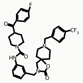 O=C(c1ccc(F)cc1)C1CCN(C(=O)Nc2cccc(CN3CC4(CCN(Cc5ccc(C(F)(F)F)cc5)CC4)OC3=O)c2)CC1